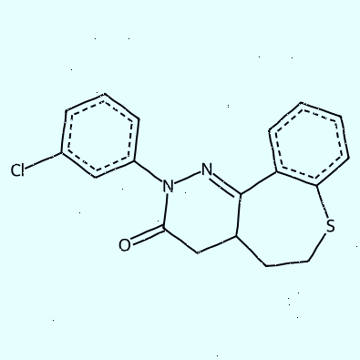 O=C1CC2CCSc3ccccc3C2=NN1c1cccc(Cl)c1